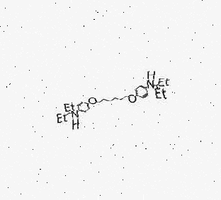 CCC(CC)Nc1ccc(OCCCCCCOc2ccc(NC(CC)CC)cc2)cc1